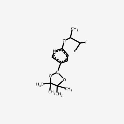 CC(Oc1ccc(B2OC(C)(C)C(C)(C)O2)cn1)C(F)F